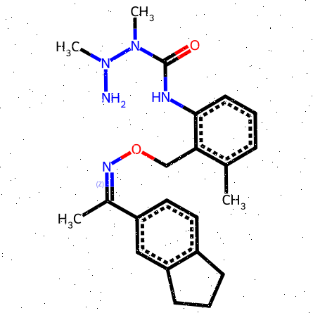 C/C(=N/OCc1c(C)cccc1NC(=O)N(C)N(C)N)c1ccc2c(c1)CCC2